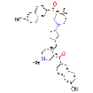 CCCN1CC[C@@H](CC2CCC(N3CC[C@H](C)[C@@H](C(=O)c4ccc5cc(C#N)ccc5c4)C3)C2)[C@H](C(=O)c2ccc3cc(C#N)ccc3c2)C1